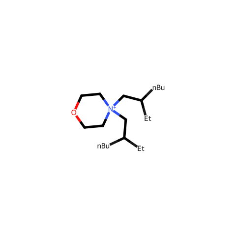 CCCCC(CC)C[N+]1(CC(CC)CCCC)CCOCC1